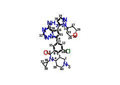 CN1CCC(N(C(=O)c2cc(Cl)cc(-c3cc(-c4ccnn4C4CCOCC4)c4c(N)ncnn34)c2)C2CC2)CC1